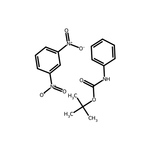 CC(C)(C)OC(=O)Nc1ccccc1.O=[N+]([O-])c1cccc([N+](=O)[O-])c1